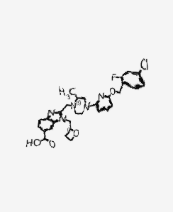 C[C@H]1CN(c2cccc(OCc3ccc(Cl)cc3F)n2)CCN1Cc1nc2ccc(C(=O)O)cc2n1C[C@@H]1CCO1